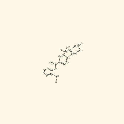 CC/C(=C\c1ccccc1CC)c1ccc2c(c1)C(C)(C)c1cc(I)ccc1-2